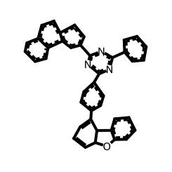 C1=CC2Oc3ccccc3C2C(c2ccc(-c3nc(-c4ccccc4)nc(-c4ccc5ccc6ccccc6c5c4)n3)cc2)=C1